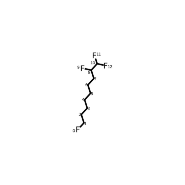 FCCCCCCCC(F)C(F)F